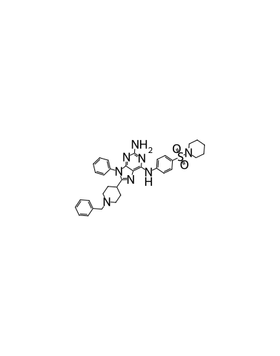 Nc1nc(Nc2ccc(S(=O)(=O)N3CCCCC3)cc2)c2nc(C3CCN(Cc4ccccc4)CC3)n(-c3ccccc3)c2n1